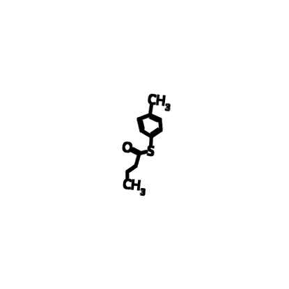 CCCC(=O)Sc1ccc(C)cc1